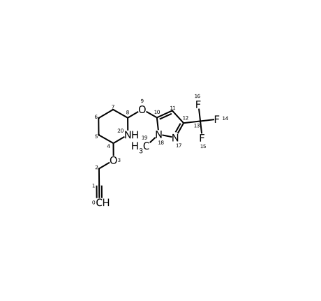 C#CCOC1CCCC(Oc2cc(C(F)(F)F)nn2C)N1